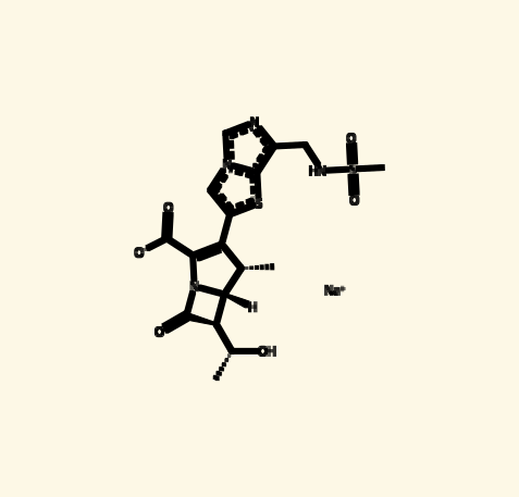 C[C@@H](O)[C@H]1C(=O)N2C(C(=O)[O-])=C(c3cn4cnc(CNS(C)(=O)=O)c4s3)[C@H](C)[C@H]12.[Na+]